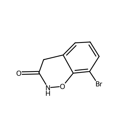 O=C1Cc2cccc(Br)c2ON1